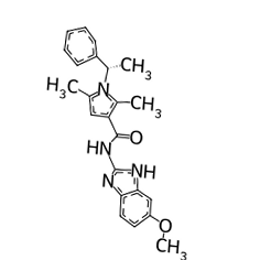 COc1ccc2nc(NC(=O)c3cc(C)n([C@@H](C)c4ccccc4)c3C)[nH]c2c1